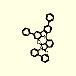 O=C1c2cccc(-n3c4ccc(-c5ccccc5)cc4c4cc(-c5ccccc5)ccc43)c2C(=O)N1c1ccccc1-c1ccccc1